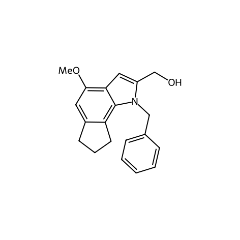 COc1cc2c(c3c1cc(CO)n3Cc1ccccc1)CCC2